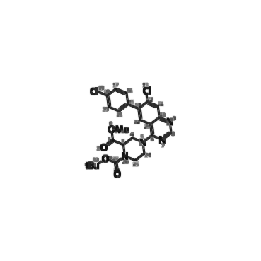 COC(=O)C1CN(c2ncnc3cc(Cl)c(-c4ccc(Cl)cc4)cc23)CCN1C(=O)OC(C)(C)C